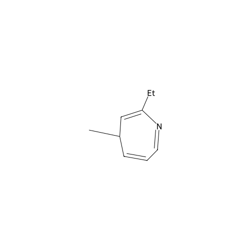 CCC1=CC(C)C=CC=N1